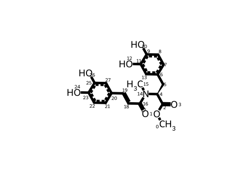 COC(=O)[C@H](Cc1ccc(O)c(O)c1)N(C)C(=O)/C=C/c1ccc(O)c(O)c1